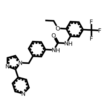 CCOc1ccc(C(F)(F)F)cc1NC(=O)Nc1cccc(Cn2ccnc2-c2ccncc2)c1